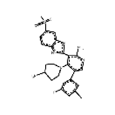 Cc1cc(F)cc(-c2cnc(N)c(-c3nc4cc(S(C)(=O)=O)ccc4[nH]3)c2N2CCC(N)CC2)c1